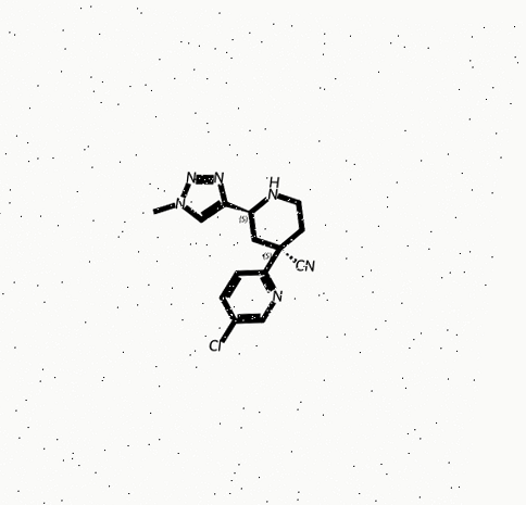 Cn1cc([C@@H]2C[C@](C#N)(c3ccc(Cl)cn3)CCN2)nn1